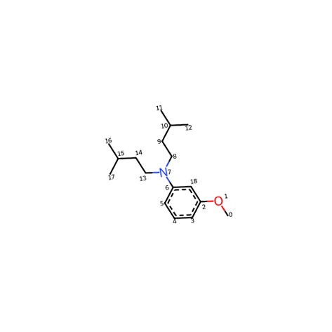 COc1cccc(N(CCC(C)C)CCC(C)C)c1